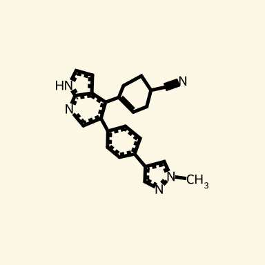 Cn1cc(-c2ccc(-c3cnc4[nH]ccc4c3C3=CCC(C#N)CC3)cc2)cn1